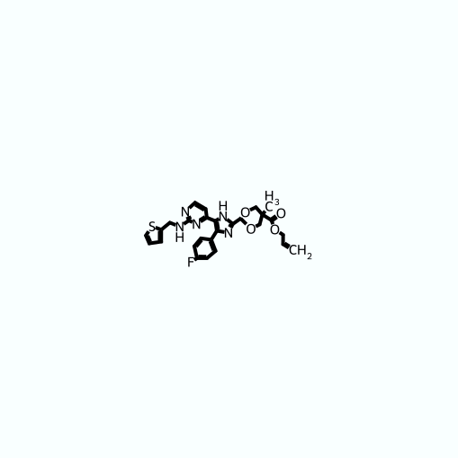 C=CCOC(=O)C1(C)COC(c2nc(-c3ccc(F)cc3)c(-c3ccnc(NCc4cccs4)n3)[nH]2)OC1